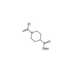 C=C(CC)N1CCC(C(=O)OC)CC1